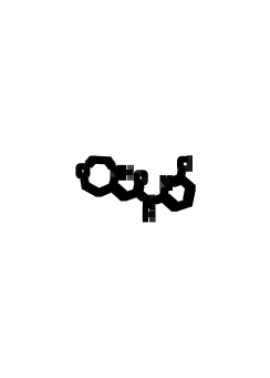 O=C(/C=C1/CCOCCN1)Nc1cccc(Cl)n1